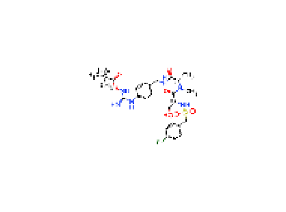 C[C@@H](C(=O)NCc1ccc(NC(=N)NOC(=O)C(C)(C)C)cc1)N(C)C(=O)[C@@H](CO)NS(=O)(=O)Cc1ccc(Cl)cc1